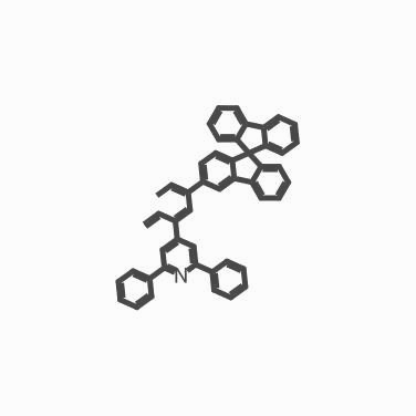 C=C/C(=C\C(=C/C)c1ccc2c(c1)-c1ccccc1C21c2ccccc2-c2ccccc21)c1cc(-c2ccccc2)nc(-c2ccccc2)c1